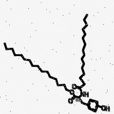 CCCCCCCCCCCCCCCCOC(=O)[C@H](Cc1ccc(O)cc1)NC(=O)CCCCCCCCCCCCCCC